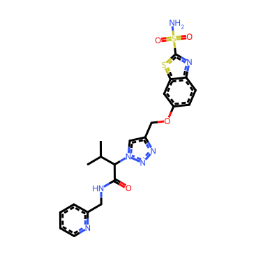 CC(C)C(C(=O)NCc1ccccn1)n1cc(COc2ccc3nc(S(N)(=O)=O)sc3c2)nn1